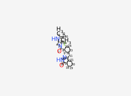 CC(NC1CN(C(=O)c2cc(Cc3n[nH]c(=O)c4ccccc34)ccc2F)C1)C1(C)CC1